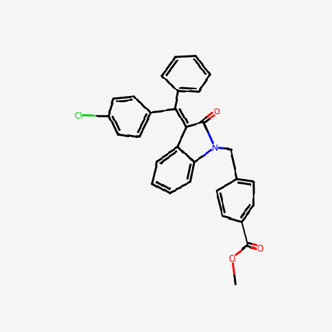 COC(=O)c1ccc(CN2C(=O)/C(=C(\c3ccccc3)c3ccc(Cl)cc3)c3ccccc32)cc1